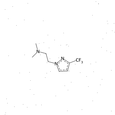 CN(C)CCn1c[c]c(C(F)(F)F)n1